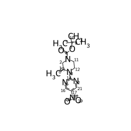 C[C@H]1CN(C(=O)OC(C)(C)C)CCN1c1ncc([N+](=O)[O-])cn1